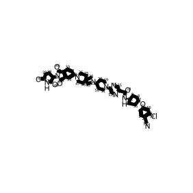 N#Cc1ccc(O[C@H]2CC[C@H](NC(=O)c3cnc(N4CCC(N5CC6(CCN(c7ccc8c(c7)C(=O)N(C7CCC(=O)NC7=O)C8=O)CC6)C5)CC4)cn3)CC2)cc1Cl